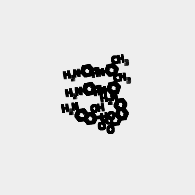 Cc1cccc(NCc2ccc(N)cc2)c1.Cc1cccc(NCc2ccc(N)cc2)c1.Nc1ccc2ccc(CC(=O)OC(=O)Cc3ccc4ccc(N)cc4c3O)c(O)c2c1